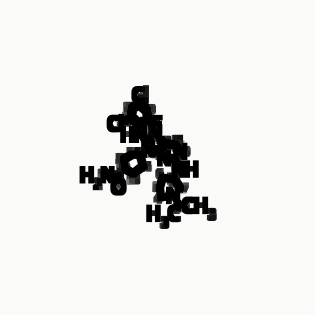 CC(C)N1CCC[C@@H](Nc2ncc3nc(Nc4c(F)cc(Cl)cc4Cl)n([C@H]4CC[C@@H](C(N)=O)CC4)c3n2)C1